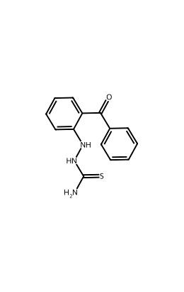 NC(=S)NNc1ccccc1C(=O)c1ccccc1